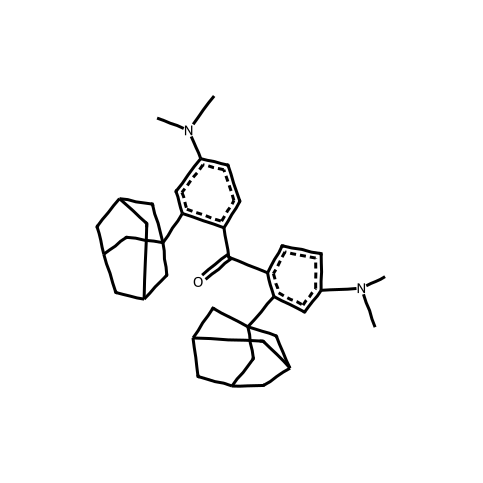 CN(C)c1ccc(C(=O)c2ccc(N(C)C)cc2C23CC4CC(CC(C4)C2)C3)c(C23CC4CC(CC(C4)C2)C3)c1